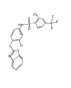 O=S(=O)(Nc1ccc(Sc2nc3ccccc3s2)c(Cl)c1)c1ccc(C(F)(F)F)cc1Cl